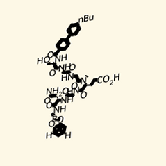 CCCCc1ccc(-c2ccc(C(=O)N[C@H](CO)C(=O)NCC(=O)NCC(=O)N(C)[C@@H](CCC(=O)O)C(=O)NCC(=O)N[C@@H](CC(N)=O)C(=O)NCB3OC4C[C@@H]5C[C@H](C4O3)C5(C)C)cc2)cc1